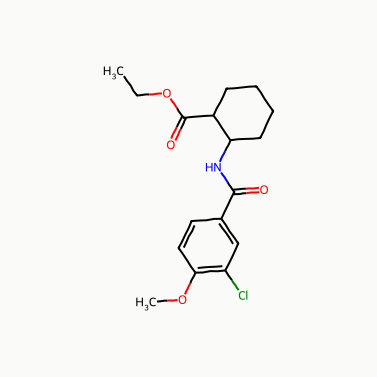 CCOC(=O)C1CCCCC1NC(=O)c1ccc(OC)c(Cl)c1